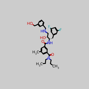 CCCN(CCC)C(=O)c1cc(C)cc(C(=O)N[C@@H](Cc2cc(F)cc(F)c2)[C@H](O)CNCc2cccc(CO)c2)c1